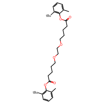 Cc1cccc(C(C)(C)C)c1OC(=O)CCCCOCCOCCCCC(=O)Oc1c(C)cccc1C(C)(C)C